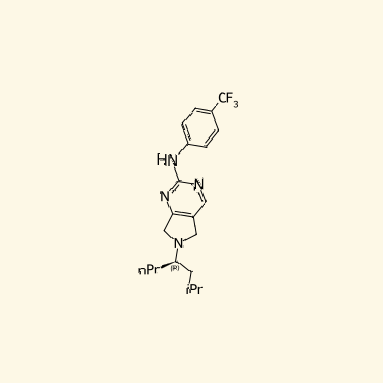 CCC[C@H](CC(C)C)N1Cc2cnc(Nc3ccc(C(F)(F)F)cc3)nc2C1